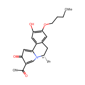 COCCCOc1cc2c(cc1O)-c1cc(=O)c(C(=O)N=O)cn1[C@@H](C(C)C)C2